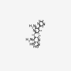 CC1=N/C(=N/O)C(=N)C(N)=C1Cc1ccc(-c2cnccn2)c(N)n1